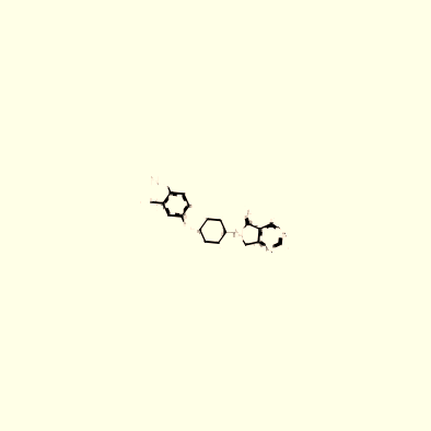 N#Cc1ccc(O[C@H]2CC[C@H](N3Cc4ncncc4C3=O)CC2)cc1Cl